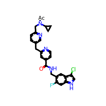 CC(=O)N(Cc1ccc(Cc2cc(C(=O)NCc3cc4c(Cl)c[nH]c4cc3F)ccn2)cn1)C1CC1